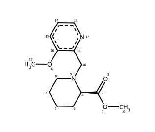 COC(=O)[C@H]1CCCCN1Cc1ncccc1OC